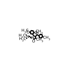 CCN(CC)CCN1C(=O)C(C)=C(C(=O)c2ccc(C)cc2)C1c1cc(OC)ccc1OC